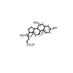 C[C@H](CCC(=O)O)C1CCC2C3C(CC[C@@]21C)[C@@]1(C)CC[C@@H](O)CC1C[C@H]3O